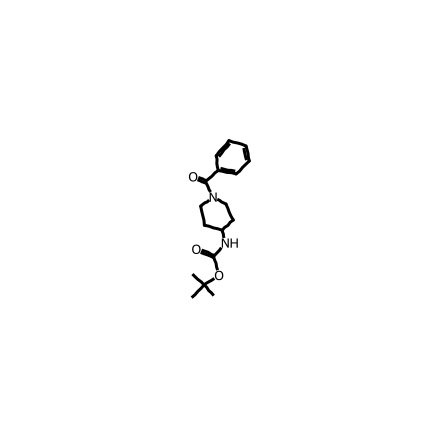 CC(C)(C)OC(=O)NC1CCN(C(=O)c2ccccc2)CC1